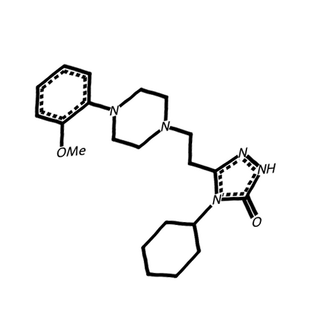 COc1ccccc1N1CCN(CCc2n[nH]c(=O)n2C2CCCCC2)CC1